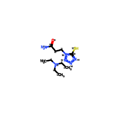 CCN(CC)CC.NC(=O)CCn1nnnc1S